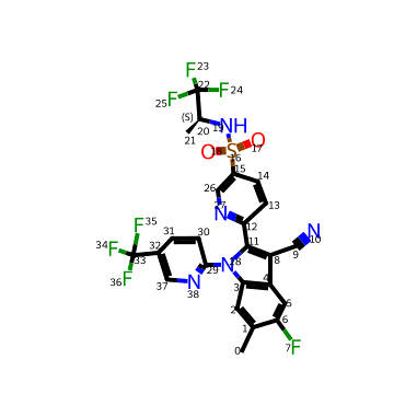 Cc1cc2c(cc1F)c(C#N)c(-c1ccc(S(=O)(=O)N[C@@H](C)C(F)(F)F)cn1)n2-c1ccc(C(F)(F)F)cn1